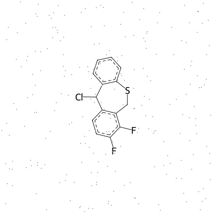 Fc1ccc2c(c1F)CSc1ccccc1C2Cl